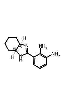 Nc1cccc(C2=N[C@@H]3CCCC[C@@H]3N2)c1N